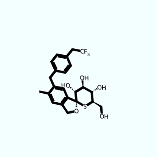 Cc1cc2c(cc1Cc1ccc(CC(F)(F)F)cc1)[C@]1(OC2)S[C@H](CO)[C@@H](O)[C@H](O)[C@H]1O